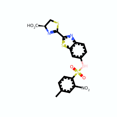 Cc1ccc(S(=O)(=O)Bc2ccc3nc(C4=N[C@@H](C(=O)O)CS4)sc3c2)c([N+](=O)[O-])c1